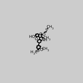 CCSCCOC(=O)C1=C(C)NC2=C(C(=O)CC(c3ccc(OC)c(OC)c3)C2)C1c1cccc(O)c1